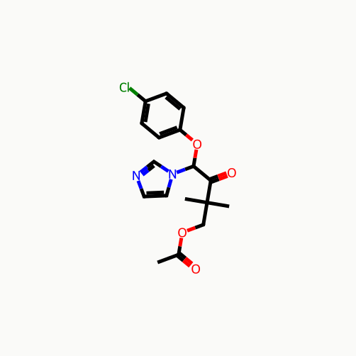 CC(=O)OCC(C)(C)C(=O)C(Oc1ccc(Cl)cc1)n1ccnc1